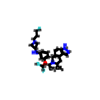 C[C@@H]1Cc2c(ccc3[nH]ncc23)[C@@H](c2ccc(NC3CN(CCCF)C3)cc2OC(F)F)N1CC(F)(F)F